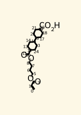 C=CC(=O)OCCCCOC(=O)C1CCC(C2CCC(C(=O)O)CC2)CC1